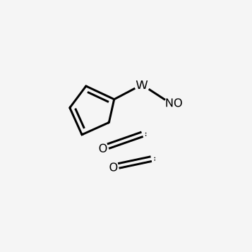 O=[N][W][C]1=CC=CC1.[C]=O.[C]=O